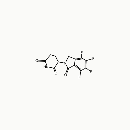 O=C1CCC(N2Cc3c(F)c(F)c(F)c(F)c3C2=O)C(=O)N1